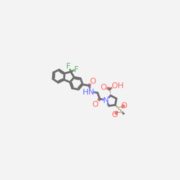 CS(=O)(=O)[C@@H]1C[C@@H](C(=O)O)N(C(=O)CNC(=O)c2ccc3c(c2)C(F)(F)c2ccccc2-3)C1